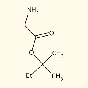 CCC(C)(C)OC(=O)CN